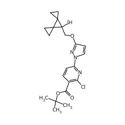 [2H]C1(COc2ccn(-c3ccc(C(=O)OC(C)(C)C)c(Cl)n3)n2)C2(CC2)C12CC2